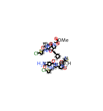 COC(=O)C(=O)Cn1ccc(C(=O)C#Cc2ccccc2)c(-c2cc(NCc3ccc(Cl)s3)n(C(=O)C(C)(C)C)n2)c1=O.NC(=O)c1ccc(C(=O)n2nc(-c3ccc(=O)n(CC(=O)c4cnsc4)c3C(=O)O)cc2NCc2ccc(Cl)s2)cc1